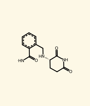 [NH]C(=O)c1ccccc1CN[C@H]1CCC(=O)NC1=O